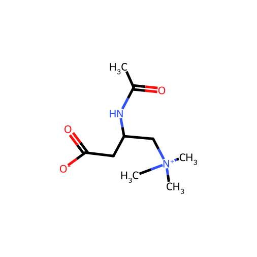 CC(=O)NC(CC(=O)[O-])C[N+](C)(C)C